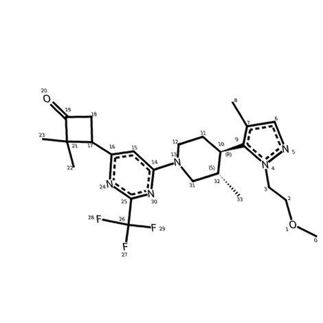 COCCn1ncc(C)c1[C@@H]1CCN(c2cc(C3CC(=O)C3(C)C)nc(C(F)(F)F)n2)C[C@H]1C